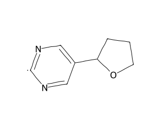 [c]1ncc(C2CCCO2)cn1